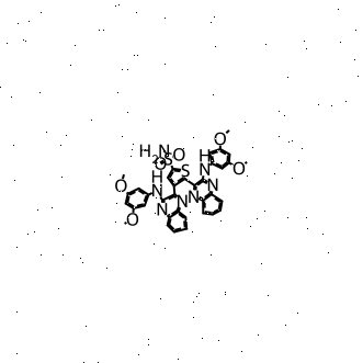 COc1cc(Nc2nc3ccccc3nc2-c2cc(S(N)(=O)=O)sc2-c2nc3ccccc3nc2Nc2cc(OC)cc(OC)c2)cc(OC)c1